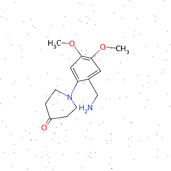 COc1cc(CN)c(N2CCC(=O)CC2)cc1OC